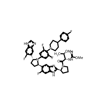 COC(=O)N[C@H](C(=O)N1CCC[C@H]1c1nc2cc([C@H]3CC[C@H](c4cc5nc[nH]c5cc4F)N3c3cc(F)c(N4CCC(c5ccc(F)cc5)CC4)c(F)c3)c(F)cc2[nH]1)[C@@H](C)OC